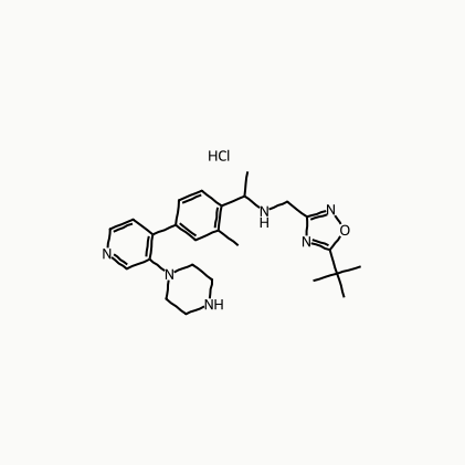 Cc1cc(-c2ccncc2N2CCNCC2)ccc1C(C)NCc1noc(C(C)(C)C)n1.Cl